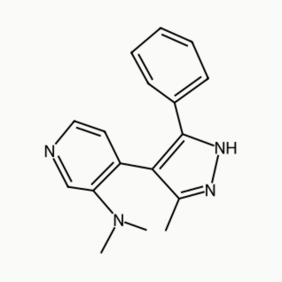 Cc1n[nH]c(-c2ccccc2)c1-c1ccncc1N(C)C